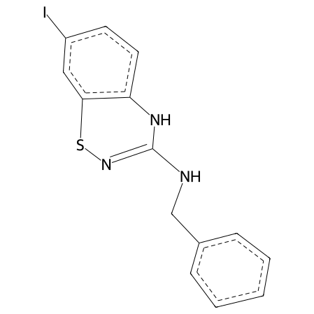 Ic1ccc2c(c1)SN=C(NCc1ccccc1)N2